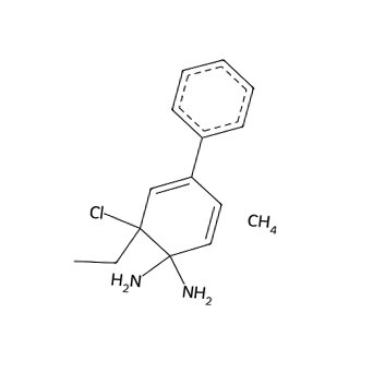 C.CCC1(Cl)C=C(c2ccccc2)C=CC1(N)N